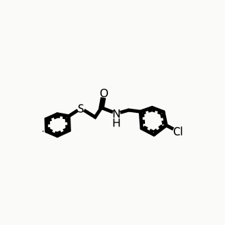 O=C(CSc1cc[c]cc1)NCc1ccc(Cl)cc1